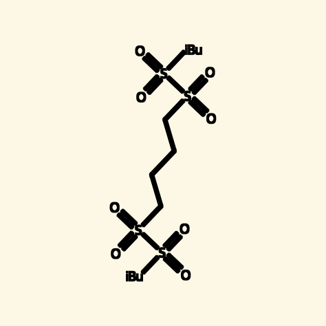 CCC(C)S(=O)(=O)S(=O)(=O)CCCCS(=O)(=O)S(=O)(=O)C(C)CC